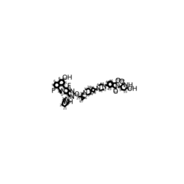 C#Cc1c(F)ccc2cc(O)cc(-c3ncc4c(N5CC6CCC(C5)N6)nc(OCC5(CN6CCC7(CC6)CC(N6CCN(c8ccc9c(c8)C(=O)N(C8CCC(O)NC8=O)C9=O)CC6)C7)CC5)nc4c3F)c12